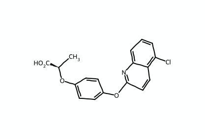 C[C@@H](Oc1ccc(Oc2ccc3c(Cl)cccc3n2)cc1)C(=O)O